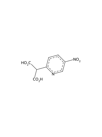 O=C(O)C(C(=O)O)c1ccc([N+](=O)[O-])cn1